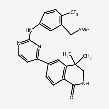 CSCc1cc(Nc2nccc(-c3ccc4c(c3)C(C)(C)CNC4=O)n2)ccc1C(F)(F)F